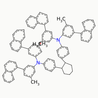 Cc1cc(-c2cccc3ccccc23)cc(N(c2ccc(C3CCCCC3c3ccc(N(c4cc(C)cc(-c5cccc6ccccc56)c4)c4cc(C)cc(-c5cccc6ccccc56)c4)cc3)cc2)c2cc(C)cc(-c3cccc4ccccc34)c2)c1